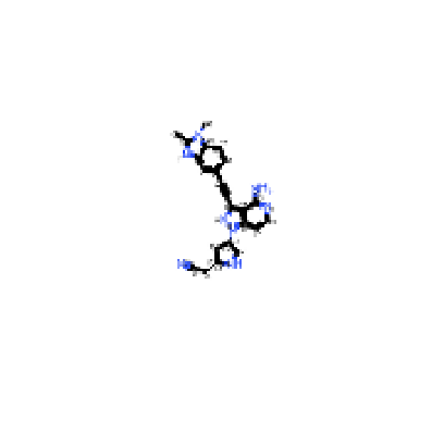 Cc1nc2cc(C#Cc3nn([C@@H]4CN[C@@H](CC#N)C4)c4ccnc(N)c34)ccc2n1C